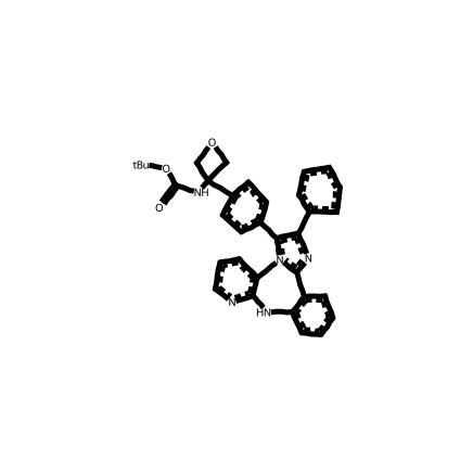 CC(C)(C)OC(=O)NC1(c2ccc(-c3c(-c4ccccc4)nc4n3-c3cccnc3Nc3ccccc3-4)cc2)COC1